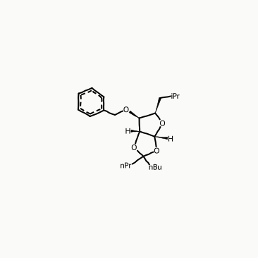 CCCCC1(CCC)O[C@H]2O[C@H](CC(C)C)[C@H](OCc3ccccc3)[C@H]2O1